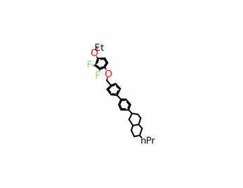 CCCC1CCC2CC(c3ccc(-c4ccc(COc5ccc(OCC)c(F)c5F)cc4)cc3)CCC2C1